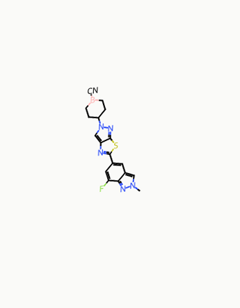 Cn1cc2cc(-c3nc4cn(C5CCB(C#N)CC5)nc4s3)cc(F)c2n1